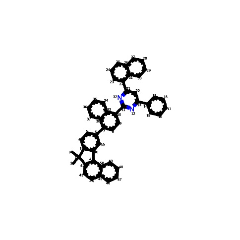 CC1(C)c2ccc(-c3ccc(-c4nc(-c5ccccc5)cc(-c5cccc6ccccc56)n4)c4ccccc34)cc2-c2c1ccc1ccccc21